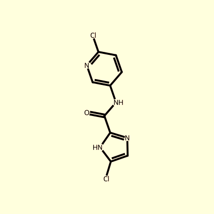 O=C(Nc1ccc(Cl)nc1)c1ncc(Cl)[nH]1